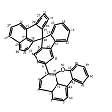 C1=CC2C=CC(c3ccc4c(c3)-c3ccccc3C43c4ccccc4-c4cccc5cccc3c45)=C3Oc4ccccc4C(=C1)C32